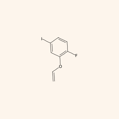 C=COc1cc(I)ccc1F